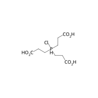 O=C(O)CC[PH](Cl)(CCC(=O)O)CCC(=O)O